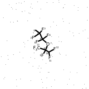 CC(F)(F)C(F)(F)OC(F)(C(F)F)C(F)(F)F